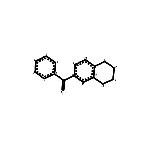 O=C(c1ccccc1)c1ccc2c(c1)CCCC2